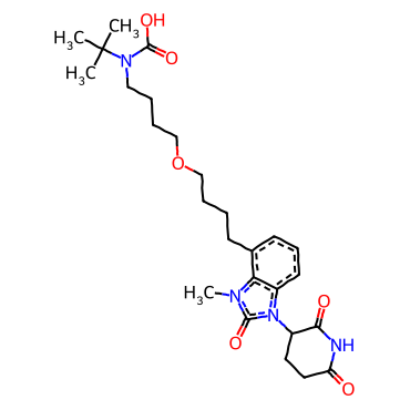 Cn1c(=O)n(C2CCC(=O)NC2=O)c2cccc(CCCCOCCCCN(C(=O)O)C(C)(C)C)c21